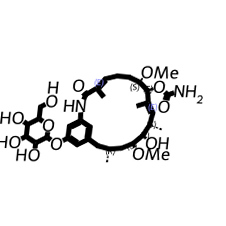 CO[C@H]1C[C@H](C)Cc2cc(cc(OC3OC(CO)C(O)C(O)C3O)c2)NC(=O)/C(C)=C/CC[C@H](OC)[C@@H](OC(N)=O)/C(C)=C/[C@H](C)[C@H]1O